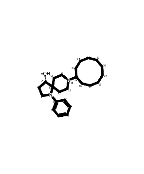 O[C@H]1CCN(c2ccccc2)C12CCN(C1CCCCCCCCC1)CC2